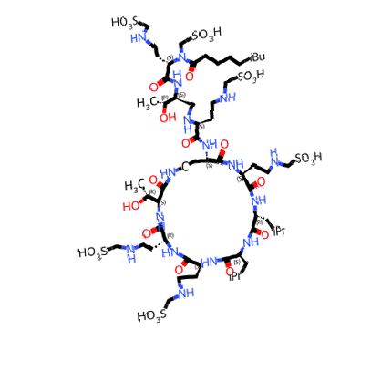 CCC(C)CCCCC(=O)N(CS(=O)(=O)O)[C@@H](CCNCS(=O)(=O)O)C(=O)N[C@@H](CN[C@@H](CCNCS(=O)(=O)O)C(=O)N[C@H]1CCNC(=O)[C@H]([C@@H](C)O)NC(=O)[C@@H](CCNCS(=O)(=O)O)NC(=O)[C@H](CCNCS(=O)(=O)O)NC(=O)[C@H](CC(C)C)NC(=O)[C@@H](CC(C)C)NC(=O)[C@H](CCNCS(=O)(=O)O)NC1=O)[C@@H](C)O